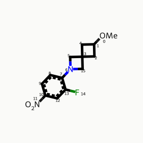 COC1CC2(C1)CN(c1ccc([N+](=O)[O-])cc1F)C2